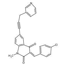 CN1C(=O)/C(=C/c2ccc(Cl)cc2)C(=O)c2cc(C#CCc3cccnc3)ccc21